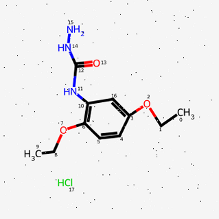 CCOc1ccc(OCC)c(NC(=O)NN)c1.Cl